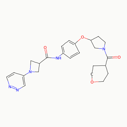 O=C(Nc1ccc(OC2CCN(C(=O)C3CCOCC3)C2)cc1)C1CN(c2ccnnc2)C1